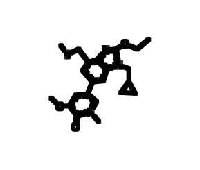 CCOc1nc2c(CSC)cc(-c3cc(OC)c(=O)n(C)c3)cc2n1CC1CC1